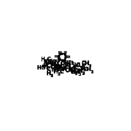 CCCC(C)(C(C)(CC)O[Si](C)(C)[C@](C)(CC)O[Si](C)(C)C)[Si](C)(OC(C)(C)[Si](C)(C)O)c1ccccc1